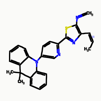 C=Nc1sc(-c2ccc(N3c4ccccc4C(C)(C)c4ccccc43)cn2)nc1/C=C\C